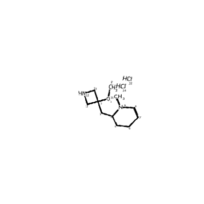 COC1(CC2CCCCN2C)CNC1.Cl.Cl